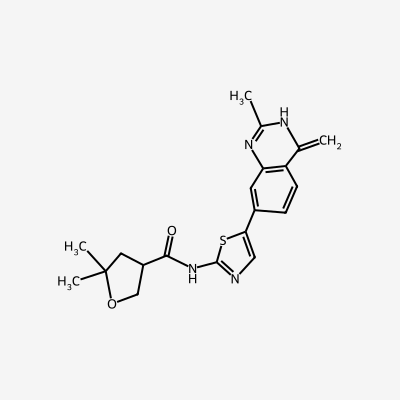 C=C1NC(C)=Nc2cc(-c3cnc(NC(=O)C4COC(C)(C)C4)s3)ccc21